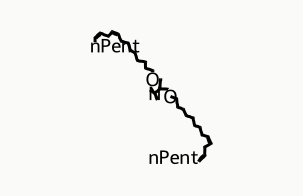 CCCCC/C=C\C/C=C\CCCCCCCCOCC(COCCCCCCCC/C=C\C/C=C\CCCCC)N(C)C